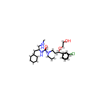 CNC[C@H](CC1CCCCC1)NC(=O)N1CCC[C@@H]([C@@H](OCCO)c2cccc(Cl)c2)C1